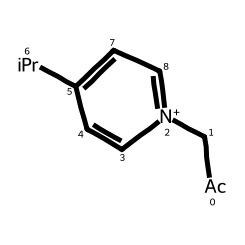 CC(=O)C[n+]1ccc(C(C)C)cc1